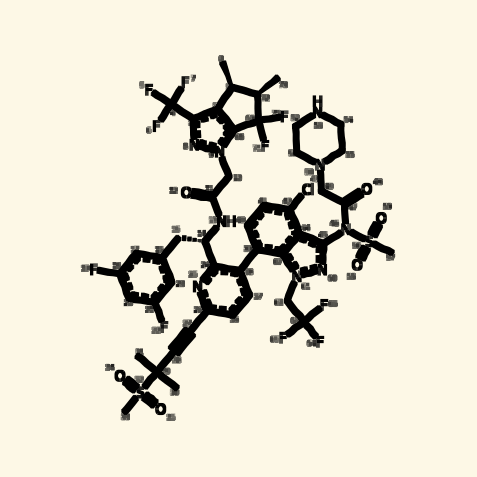 C[C@@H]1c2c(C(F)(F)F)nn(CC(=O)N[C@@H](Cc3cc(F)cc(F)c3)c3nc(C#CC(C)(C)S(C)(=O)=O)ccc3-c3ccc(Cl)c4c(N(C(=O)CN5CCNCC5)S(C)(=O)=O)nn(CC(F)(F)F)c34)c2C(F)(F)[C@@H]1C